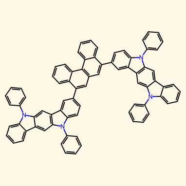 c1ccc(-n2c3ccccc3c3cc4c(cc32)c2cc(-c3cc5cc(-c6ccc7c(c6)c6cc8c(cc6n7-c6ccccc6)c6ccccc6n8-c6ccccc6)c6ccccc6c5c5ccccc35)ccc2n4-c2ccccc2)cc1